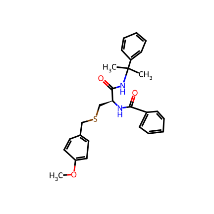 COc1ccc(CSC[C@H](NC(=O)c2ccccc2)C(=O)NC(C)(C)c2ccccc2)cc1